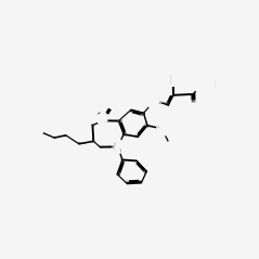 CCCCC1CN(c2ccccc2)c2cc(SC)c(O/C=C(\F)C(=O)O)cc2S(=O)(=O)[C@H]1F